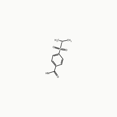 CN(C)S(=O)(=O)c1ccc(C([NH])=O)cc1